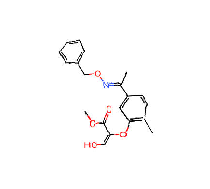 COC(=O)C(=CO)Oc1cc(C(C)=NOCc2ccccc2)ccc1C